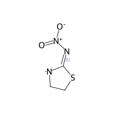 O=[N+]([O-])/N=C1\[N]CCS1